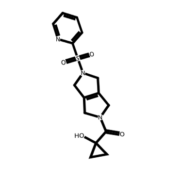 O=C(N1CC2=C(C1)CN(S(=O)(=O)c1ccccn1)C2)C1(O)CC1